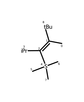 C/C(=C(/C(C)C)S(C)(C)C)C(C)(C)C